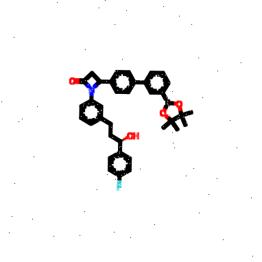 CC1(C)OB(c2cccc(-c3ccc(C4CC(=O)N4c4cccc(CC[C@H](O)c5ccc(F)cc5)c4)cc3)c2)OC1(C)C